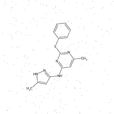 Cc1cc(Nc2cc(C)[nH]n2)nc(Sc2ccccc2)n1